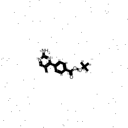 Cc1cnc(N)nc1-c1ccc(C(=O)OOC(C)(C)C)cc1